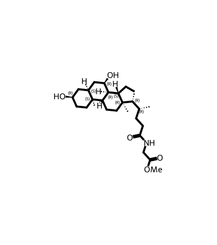 COC(=O)CNC(=O)CC[C@@H](C)[C@H]1CC[C@H]2[C@@H]3[C@H](O)C[C@@H]4C[C@H](O)CC[C@]4(C)[C@H]3CC[C@]12C